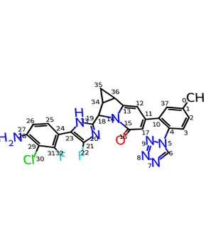 Cc1ccc(-n2cnnn2)c(-c2cc3n(c(=O)c2)C(c2nc(F)c(-c4ccc(N)c(Cl)c4F)[nH]2)C2CC32)c1